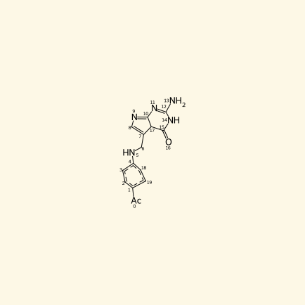 CC(=O)c1ccc(NCC2=CN=C3N=C(N)NC(=O)C23)cc1